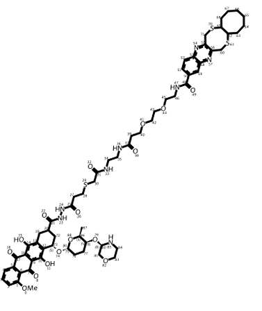 COc1cccc2c1C(=O)c1c(O)c3c(c(O)c1C2=O)CC(C(=O)NNC(=O)CCSCC(=O)NCCNC(=O)CCOCCOCCNC(=O)c1ccc2nc4c(nc2c1)CSC1CCCCCCC1SC4)C[C@@H]3O[C@H]1CC[C@H](O[C@@H]2COCCN2)[C@H](C)O1